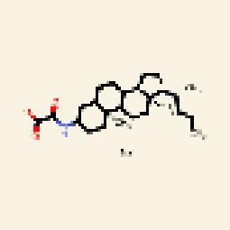 CCC[C@@H](C)[C@H]1CCC2C3CCC4CC(NC(=O)C(=O)[O-])CC[C@]4(C)C3CC[C@@]21C.[Na+]